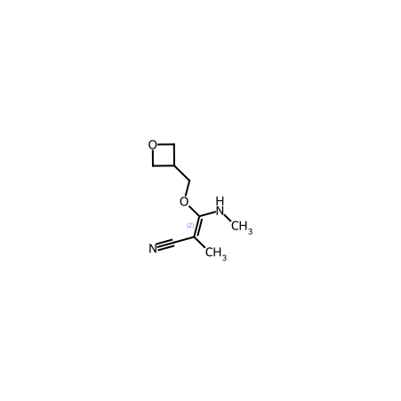 CN/C(OCC1COC1)=C(\C)C#N